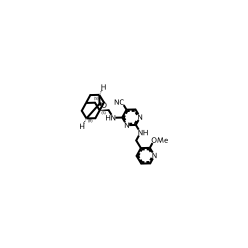 COc1ncccc1CNc1ncc(C#N)c(NC[C@]23CC4C[C@H](C2)C(=O)[C@@H](C4)C3)n1